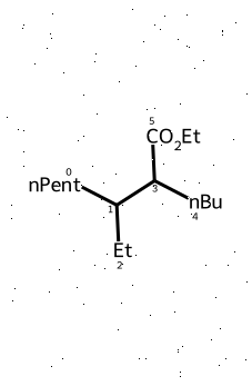 CCCCCC(CC)C(CCCC)C(=O)OCC